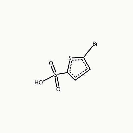 O=S(=O)(O)c1ccc(Br)s1